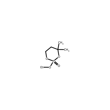 CCOP1(=O)OCCC(C)(C)O1